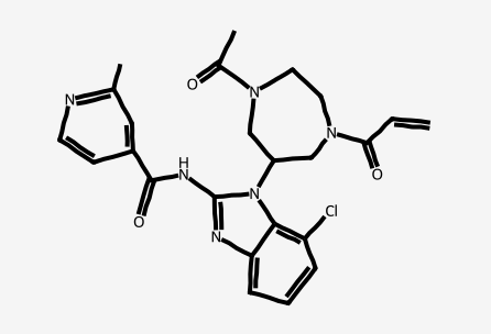 C=CC(=O)N1CCN(C(C)=O)CC(n2c(NC(=O)c3ccnc(C)c3)nc3cccc(Cl)c32)C1